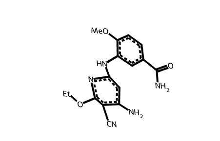 CCOc1nc(Nc2cc(C(N)=O)ccc2OC)cc(N)c1C#N